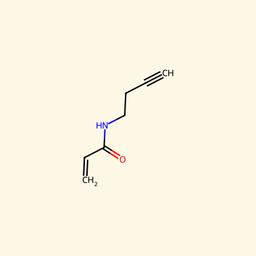 C#CCCNC(=O)C=C